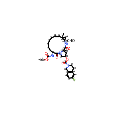 CC(C)(C)OC(=O)N[C@H]1CCCCC/C=C\[C@@H]2C[C@@]2(C=O)NC(=O)[C@@H]2C[C@@H](OC(=O)N3CCc4cc(F)ccc4C3)CN2C1=O